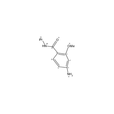 COc1cc(N)ccc1C(=O)NC(C)C